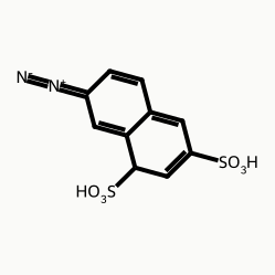 [N-]=[N+]=C1C=CC2=CC(S(=O)(=O)O)=CC(S(=O)(=O)O)C2=C1